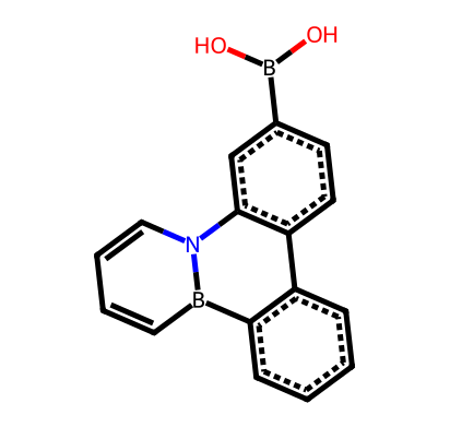 OB(O)c1ccc2c(c1)N1C=CC=CB1c1ccccc1-2